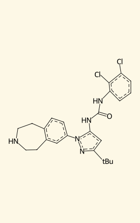 CC(C)(C)c1cc(NC(=O)Nc2cccc(Cl)c2Cl)n(-c2ccc3c(c2)CCNCC3)n1